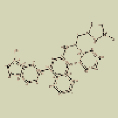 CN1CCC(CC(Nc2cc(-c3ccc4ccn(C)c4c3)c3nccnc3c2)c2cccnc2)C1